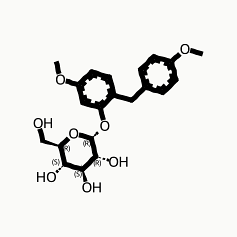 COc1ccc(Cc2ccc(OC)cc2O[C@H]2O[C@H](CO)[C@@H](O)[C@H](O)[C@H]2O)cc1